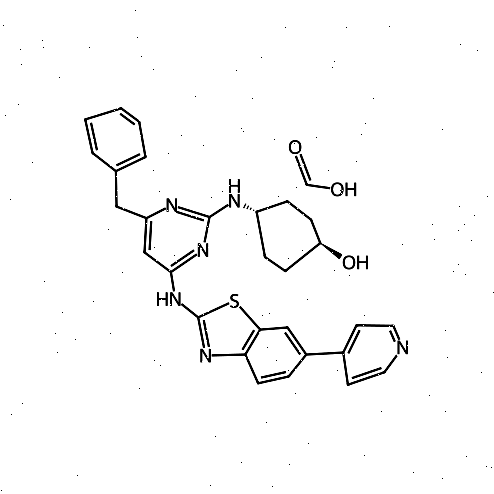 O=CO.O[C@H]1CC[C@H](Nc2nc(Cc3ccccc3)cc(Nc3nc4ccc(-c5ccncc5)cc4s3)n2)CC1